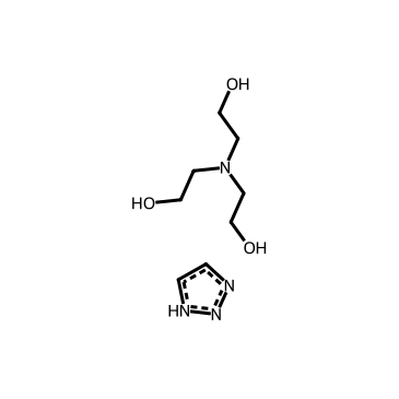 OCCN(CCO)CCO.c1c[nH]nn1